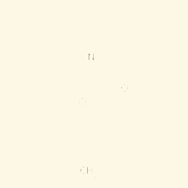 C=CCOC(=O)[n+]1ccccc1